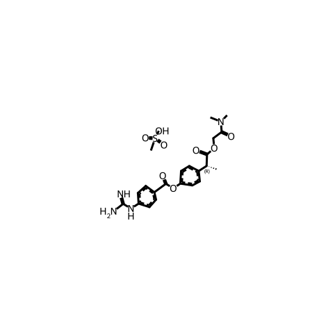 CS(=O)(=O)O.C[C@@H](C(=O)OCC(=O)N(C)C)c1ccc(OC(=O)c2ccc(NC(=N)N)cc2)cc1